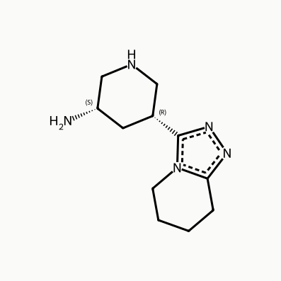 N[C@@H]1CNC[C@H](c2nnc3n2CCCC3)C1